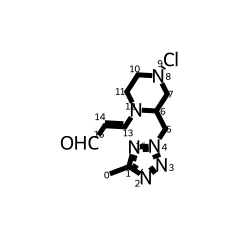 Cc1nnn(CC2CN(Cl)CCN2C=CC=O)n1